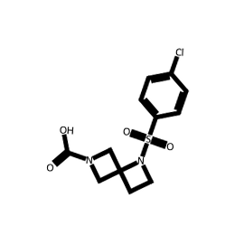 O=C(O)N1CC2(CCN2S(=O)(=O)c2ccc(Cl)cc2)C1